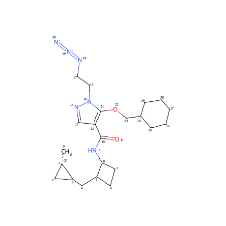 C[C@H]1CC1CC1CCC1NC(=O)c1cnn(CCN=[N+]=[N-])c1OCC1CCCCC1